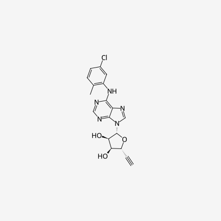 C#C[C@H]1O[C@@H](n2cnc3c(Nc4cc(Cl)ccc4C)ncnc32)[C@H](O)[C@@H]1O